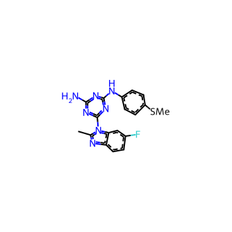 CSc1ccc(Nc2nc(N)nc(-n3c(C)nc4ccc(F)cc43)n2)cc1